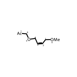 COC/C=C\COCC(C)=O